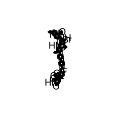 CCOc1cc(N2CCC(N3CCN(CCc4c(F)cc(F)c5c4oc(=O)n5C4CCC(=O)NC4=O)CC3)CC2)c(CC)cc1Nc1ncc(Br)c(Nc2ccc3nc(CC)ccc3c2P(C)(C)=O)n1